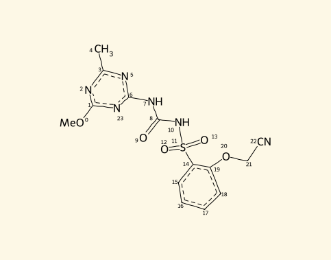 COc1nc(C)nc(NC(=O)NS(=O)(=O)c2ccccc2OCC#N)n1